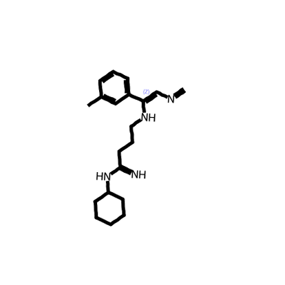 C=N/C=C(\NCCCC(=N)NC1CCCCC1)c1cccc(C)c1